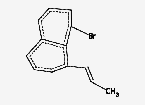 C/C=C/c1cccc2cccc(Br)c12